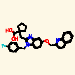 OC(O)C1(Cc2nc3cc(OCc4ccc5ccccc5n4)ccc3n2Cc2ccc(F)cc2)CCCC1